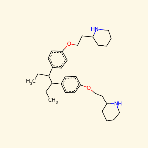 CCC(c1ccc(OCCC2CCCCN2)cc1)C(CC)c1ccc(OCCC2CCCCN2)cc1